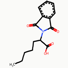 CCCCCC(C(=O)O)N1C(=O)c2ccccc2C1=O